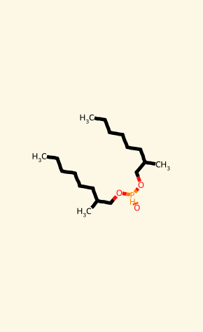 CCCCCCC(C)CO[PH](=O)OCC(C)CCCCCC